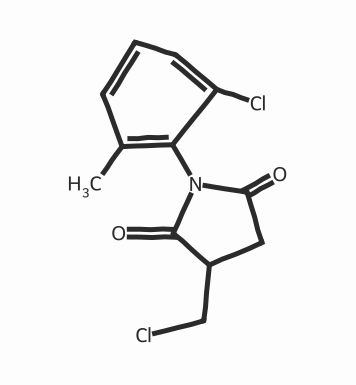 Cc1cccc(Cl)c1N1C(=O)CC(CCl)C1=O